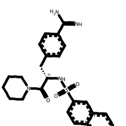 N=C(N)c1ccc(C[C@H](NS(=O)(=O)c2ccc3ccccc3c2)C(=O)N2CCCCC2)cc1